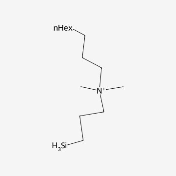 CCCCCCCCC[N+](C)(C)CCC[SiH3]